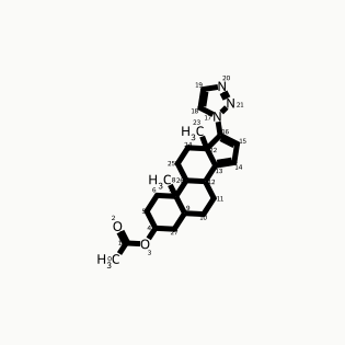 CC(=O)OC1CCC2(C)C(CCC3C4=CC=C(n5ccnn5)C4(C)CCC32)C1